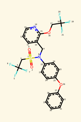 O=S(=O)(CC(F)(F)F)N(Cc1cccnc1OCC(F)(F)F)c1ccc(Oc2ccccc2)cc1